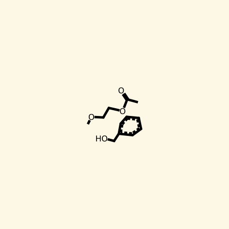 COCCOC(C)=O.OCc1ccccc1